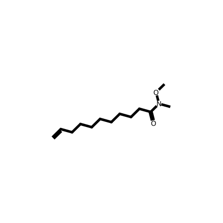 C=CCCCCCCCCC(=O)N(C)OC